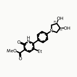 CCc1cc(C(=O)OC)c(=O)[nH]c1-c1ccc(N2C[C@@H](O)[C@@H](O)C2)cc1